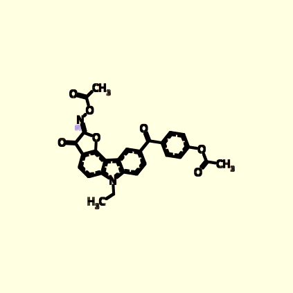 CCn1c2ccc(C(=O)c3ccc(OC(C)=O)cc3)cc2c2c3c(ccc21)C(=O)/C(=N/OC(C)=O)O3